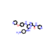 NC1CCC(Nc2cc(Nc3ccc(Oc4cccnc4)cc3)c3ncc(C(=O)Nc4ccncc4)n3n2)CC1